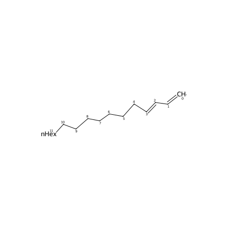 [CH]=CC=CCCCCCCCCCCCCC